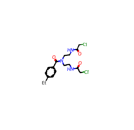 CCc1ccc(C(=O)N(CCNC(=O)CCl)CCNC(=O)CCl)cc1